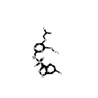 COc1nc(NS(=O)(=O)c2n[nH]c3cc(Cl)ccc23)ncc1OCC(F)F